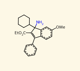 CCOC(=O)C1=C(c2ccccc2)c2ccc(OC)cc2C1(N)C1CCCCC1